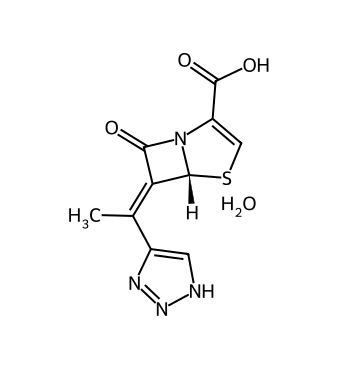 C/C(=C1\C(=O)N2C(C(=O)O)=CS[C@H]12)c1c[nH]nn1.O